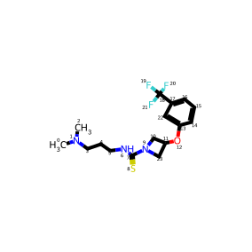 CN(C)CCCNC(=S)N1CC(Oc2cccc(C(F)(F)F)c2)C1